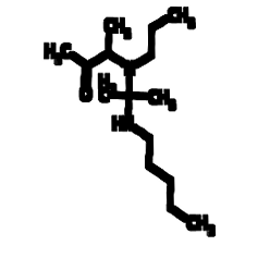 CCCCCNC(C)(C)N(CCC)C(C)C(C)=O